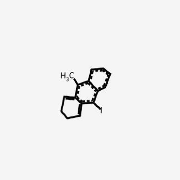 Cc1c2c(c(I)c3ccccc13)=CCCC=2